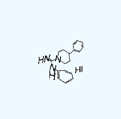 I.N=C(Nc1ccccc1)N1CCC(c2ccccc2)CC1